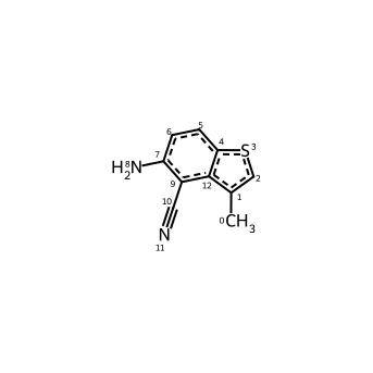 Cc1csc2ccc(N)c(C#N)c12